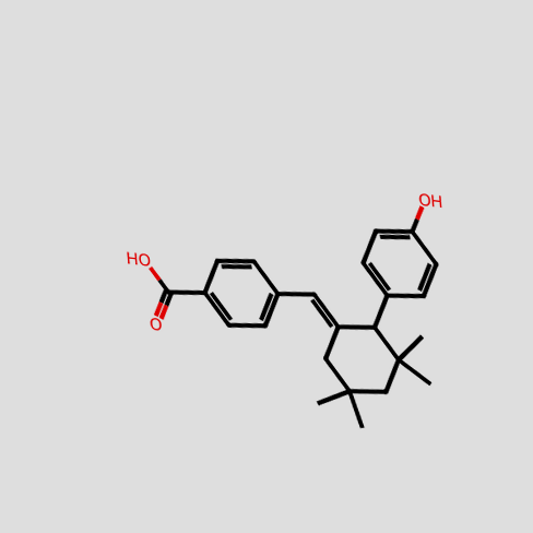 CC1(C)CC(=Cc2ccc(C(=O)O)cc2)C(c2ccc(O)cc2)C(C)(C)C1